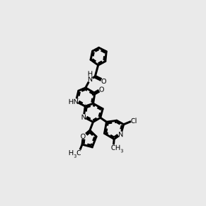 Cc1cc(-c2cc3c(=O)c(NC(=O)c4ccccc4)c[nH]c3nc2-c2ccc(C)o2)cc(Cl)n1